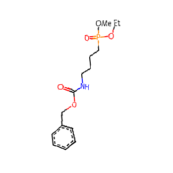 CCOP(=O)(CCCCNC(=O)OCc1ccccc1)OC